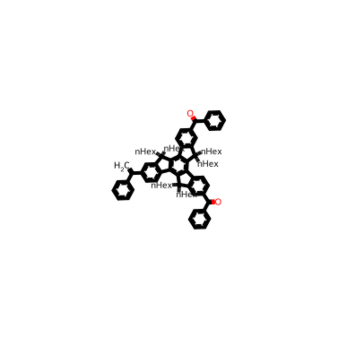 C=C(c1ccccc1)c1ccc2c(c1)C(CCCCCC)(CCCCCC)c1c-2c2c(c3c1-c1ccc(C(=O)c4ccccc4)cc1C3(CCCCCC)CCCCCC)-c1ccc(C(=O)c3ccccc3)cc1C2(CCCCCC)CCCCCC